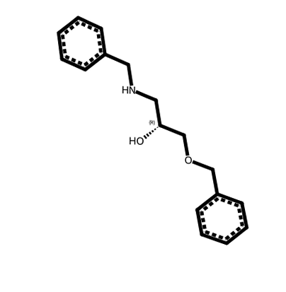 O[C@H](CNCc1ccccc1)COCc1ccccc1